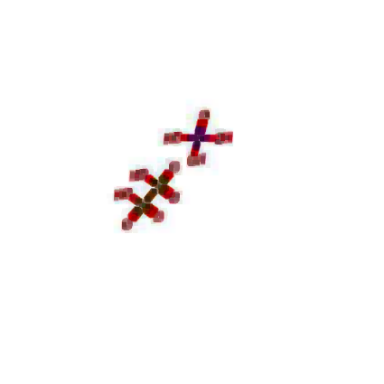 O=P(O)(O)O.O=S(=O)(O)S(=O)(=O)O